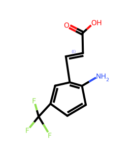 Nc1ccc(C(F)(F)F)cc1/C=C/C(=O)O